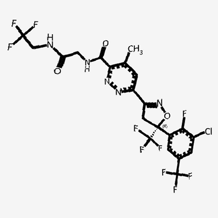 Cc1cc(C2=NO[C@](c3cc(C(F)(F)F)cc(Cl)c3F)(C(F)(F)F)C2)nnc1C(=O)NCC(=O)NCC(F)(F)F